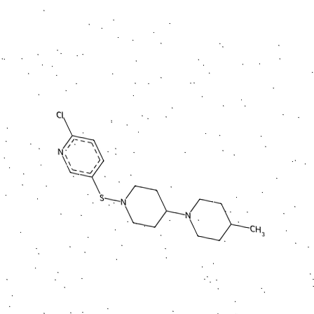 CC1CCN(C2CCN(Sc3ccc(Cl)nc3)CC2)CC1